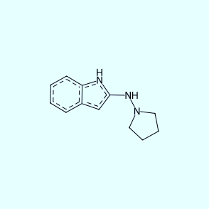 c1ccc2[nH]c(NN3CCCC3)cc2c1